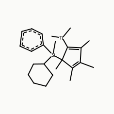 CC1=C(C)C(C)([Si](C)(c2ccccc2)C2CCCCC2)[C]([Ti]([CH3])[CH3])=C1C